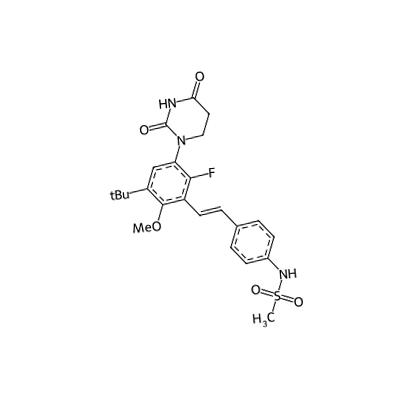 COc1c(C(C)(C)C)cc(N2CCC(=O)NC2=O)c(F)c1/C=C/c1ccc(NS(C)(=O)=O)cc1